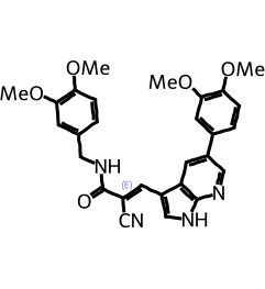 COc1ccc(CNC(=O)/C(C#N)=C/c2c[nH]c3ncc(-c4ccc(OC)c(OC)c4)cc23)cc1OC